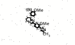 COc1ccc([C@H]2CCCn3cc(-c4ccc(-n5cnc(C)c5)c(OC)n4)nc32)cc1C(C)(C)C